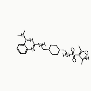 Cc1noc(C)c1S(=O)(=O)NC[C@H]1CC[C@H](CNc2nc(N(C)C)c3ccccc3n2)CC1